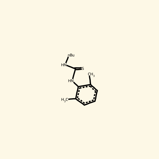 CCCCNC(=S)Nc1c(C)cccc1C